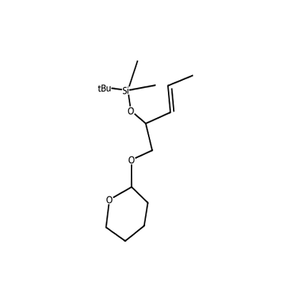 CC=CC(COC1CCCCO1)O[Si](C)(C)C(C)(C)C